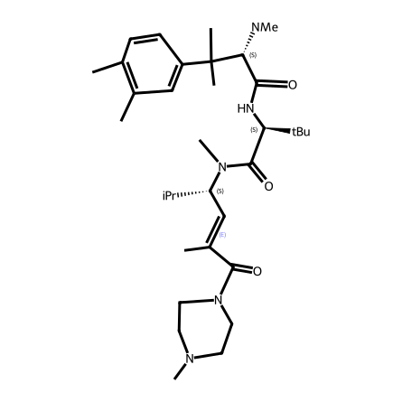 CN[C@H](C(=O)N[C@H](C(=O)N(C)[C@H](/C=C(\C)C(=O)N1CCN(C)CC1)C(C)C)C(C)(C)C)C(C)(C)c1ccc(C)c(C)c1